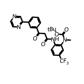 CN(C(=O)OC(C)(C)C)c1cc(C(F)(F)F)ccc1NC(=O)CC(=O)c1cccc(-c2cnccn2)c1